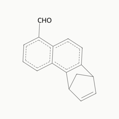 O=Cc1cccc2c3c(ccc12)C1C=CC3C1